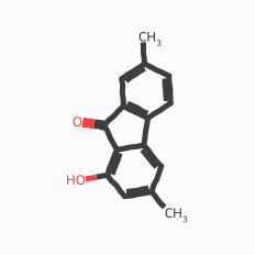 Cc1ccc2c(c1)C(=O)c1c(O)cc(C)cc1-2